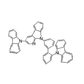 c1cc(-c2ccccc2-n2c3ccccc3c3ccccc32)cc(-n2c3ccccc3c3cc(-n4c5ccccc5c5ccccc54)cnc32)c1